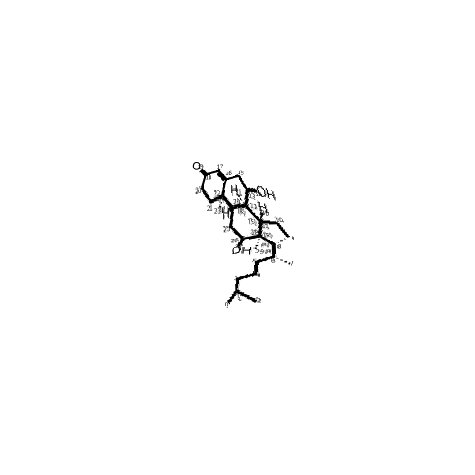 CC(C)CCC[C@@H](C)[C@H]1CC[C@H]2[C@@H]3C(O)CC4=CC(=O)CC[C@]4(C)[C@H]3CC(O)[C@]12C